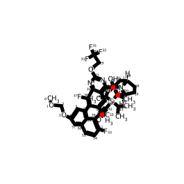 COCOc1cc(-c2c(C(C)=O)cc3c(N4C[C@H]5CC[C@@H](C4)N5C(=O)O)nc(OCC(F)(F)F)nc3c2F)c2c(C#C[Si](C(C)C)(C(C)C)C(C)C)c(F)ccc2c1